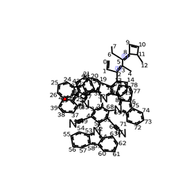 C=C/C(=C(C)\C(CC)=C1\C=CC1C)c1cccc2c1c1ccc3c4ccccc4sc3c1n2-c1c(-n2c3ccccc3c3ccccc32)c(C#N)c(-n2c3ccccc3c3ccccc32)c(C#N)c1-n1c2ccccc2c2ccccc21